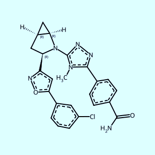 Cn1c(-c2ccc(C(N)=O)cc2)nnc1N1[C@@H](c2cc(-c3cccc(Cl)c3)on2)C[C@H]2C[C@H]21